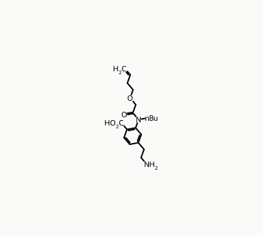 C=CCCOCC(=O)N(CCCC)c1cc(CCN)ccc1C(=O)O